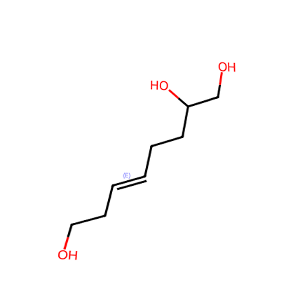 OCC/C=C/CCC(O)CO